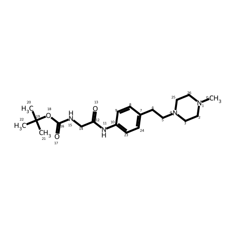 CN1CCN(CCc2ccc(NC(=O)CNC(=O)OC(C)(C)C)cc2)CC1